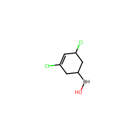 OBC1CC(Cl)=CC(Cl)C1